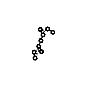 c1ccc(-c2cccc(-n3c4ccccc4c4cc(-c5ccc(-c6ccc7c(c6)c6ccccc6n7-c6cccc7c6sc6ccccc67)cc5)ccc43)c2)cc1